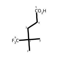 CC(C)(CCC(=O)O)C(F)(F)F